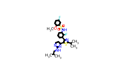 COc1ccc(F)cc1S(=O)(=O)Nc1cccc(-c2nc(C(C)C)sc2-c2ccnc(NCC(C)C)n2)c1F